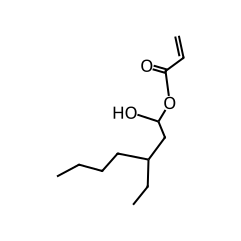 C=CC(=O)OC(O)CC(CC)CCCC